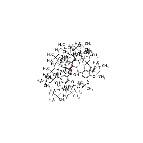 CC(C)(C)CC(C)(C)Oc1cc(OC(C)(C)CC(C)(C)C)c([SiH](O[SiH](c2cc(OC(C)(C)CC(C)(C)C)c(OC(C)(C)CC(C)(C)C)cc2OC(C)(C)CC(C)(C)C)c2cc(OC(C)(C)CC(C)(C)C)c(OC(C)(C)CC(C)(C)C)cc2OC(C)(C)CC(C)(C)C)c2cc(OC(C)(C)CC(C)(C)C)c(OC(C)(C)CC(C)(C)C)cc2OC(C)(C)CC(C)(C)C)cc1OC(C)(C)CC(C)(C)C